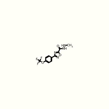 CNNC(=O)c1nc(-c2ccc(OC(F)(F)F)cc2)no1